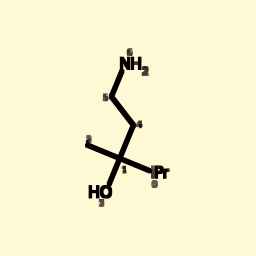 CC(C)C(C)(O)CCN